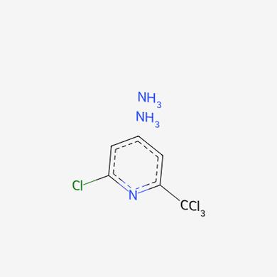 Clc1cccc(C(Cl)(Cl)Cl)n1.N.N